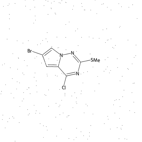 CSc1nc(Cl)c2cc(Br)cn2n1